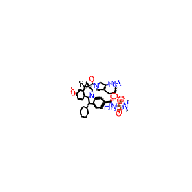 COc1ccc2c(c1)[C@@H]1C[C@]1(C(=O)N1CC3CCCNC3C1)Cn1c-2c(C2CCCCC2)c2ccc(C(=O)NS(=O)(=O)N(C)C)cc21